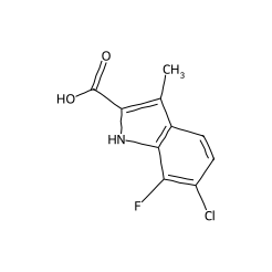 Cc1c(C(=O)O)[nH]c2c(F)c(Cl)ccc12